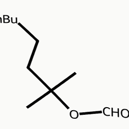 CCCCCCC(C)(C)OC=O